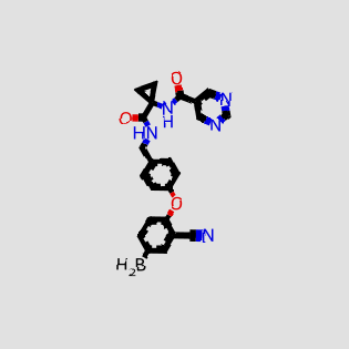 Bc1ccc(Oc2ccc(CNC(=O)C3(NC(=O)c4cncnc4)CC3)cc2)c(C#N)c1